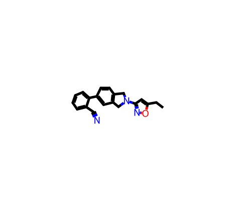 CCc1cc(N2Cc3ccc(-c4ccccc4C#N)cc3C2)no1